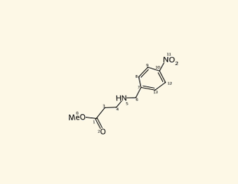 COC(=O)CCNCc1ccc([N+](=O)[O-])cc1